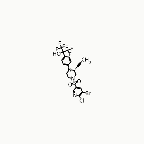 CC#C[C@H]1CN(S(=O)(=O)c2cnc(Cl)c(Br)c2)CCN1c1ccc(C(O)(C(F)(F)F)C(F)(F)F)cc1